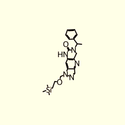 CC(c1ccccc1)N1Cc2nc3cnn(COCC[Si](C)(C)C)c3cc2NC1=O